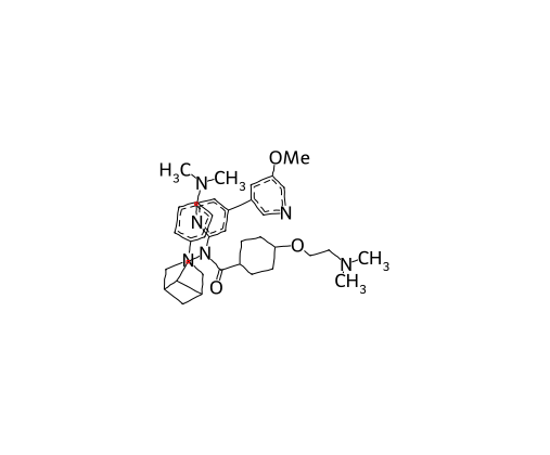 COc1cncc(-c2ccnc(N(CC3C4CC3CN(c3ccc(N(C)C)cc3)C4)C(=O)C3CCC(OCCN(C)C)CC3)c2)c1